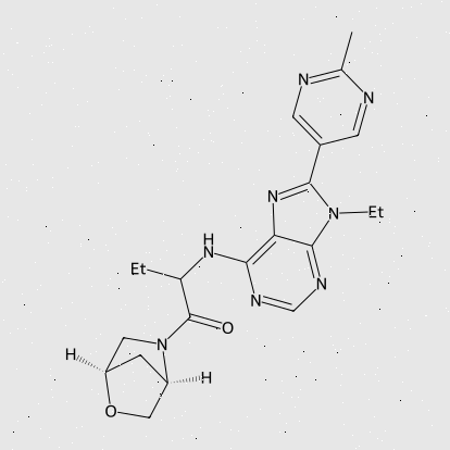 CCC(Nc1ncnc2c1nc(-c1cnc(C)nc1)n2CC)C(=O)N1C[C@H]2C[C@@H]1CO2